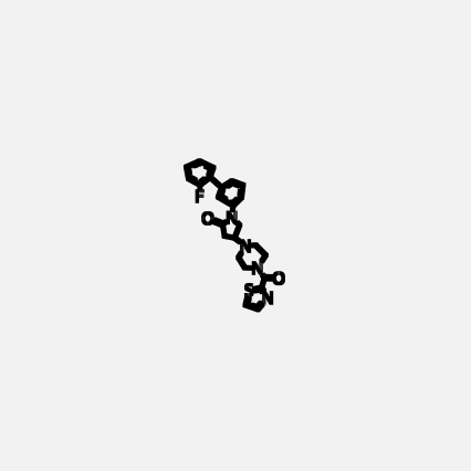 O=C(c1nccs1)N1CCN(C2CC(=O)N(c3cccc(-c4ccccc4F)c3)C2)CC1